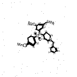 COc1ccc(S(=O)(=O)N(c2cc(OC)cc(OC)c2)C2CCN(Cc3ccccc3)CC2)cc1